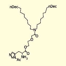 CCCCCCCCCCCCCCCCCCN(CCCCCCCCCCCCCCCCCC)C(=O)COCCOC(=O)C(N)Cc1cncn1C(C)=O